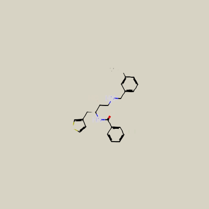 COc1cccc(CNC[C@@H](O)[C@H](Cc2ccsc2)NC(=O)c2ccccc2)c1.Cl